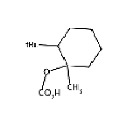 CC(C)(C)C1CCCCC1(C)OC(=O)O